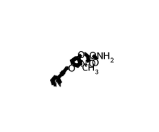 CN1C(=O)[C@@H](OC(N)=O)COc2ccc(OCC#Cc3cccnc3)cc21